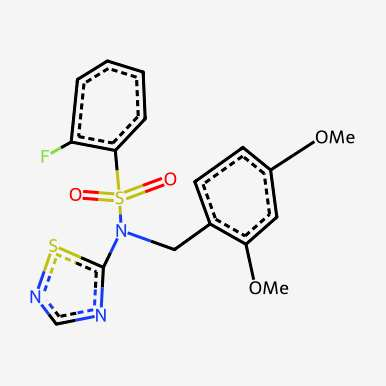 COc1ccc(CN(c2ncns2)S(=O)(=O)c2ccccc2F)c(OC)c1